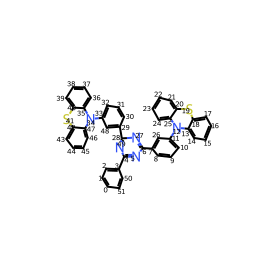 c1ccc(-c2nc(-c3cccc(N4c5ccccc5Sc5ccccc54)c3)nc(-c3cccc(N4c5ccccc5Sc5ccccc54)c3)n2)cc1